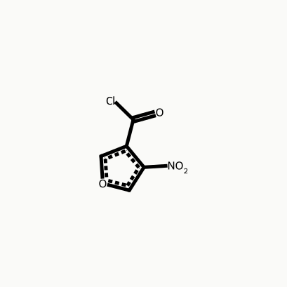 O=C(Cl)c1cocc1[N+](=O)[O-]